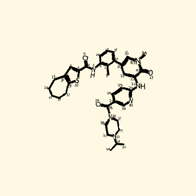 Cc1c(NC(=O)c2cc3c(s2)CCCCC3)cccc1-c1cc(Nc2ccc(C(=O)N3CCN(C(C)C)CC3)cn2)c(=O)n(C)c1